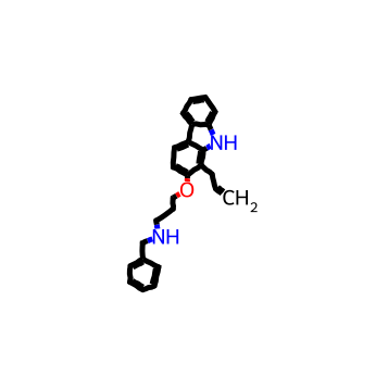 C=CCc1c(OCCCNCc2ccccc2)ccc2c1[nH]c1ccccc12